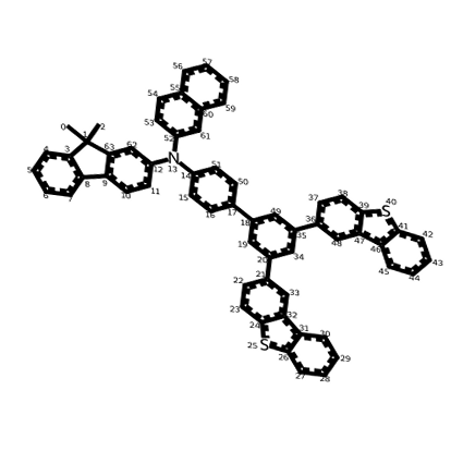 CC1(C)c2ccccc2-c2ccc(N(c3ccc(-c4cc(-c5ccc6sc7ccccc7c6c5)cc(-c5ccc6sc7ccccc7c6c5)c4)cc3)c3ccc4ccccc4c3)cc21